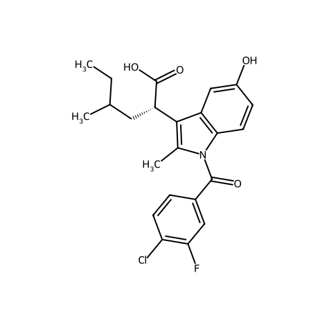 CCC(C)C[C@H](C(=O)O)c1c(C)n(C(=O)c2ccc(Cl)c(F)c2)c2ccc(O)cc12